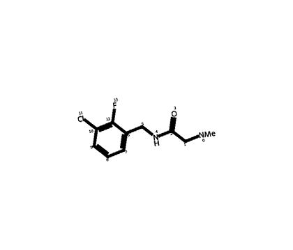 CNCC(=O)NCc1cccc(Cl)c1F